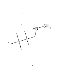 CC(C)(C)C(C)(C)CN[SiH3]